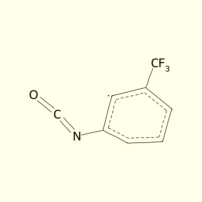 O=C=Nc1[c]c(C(F)(F)F)ccc1